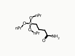 CCCO[Si](CCCC(N)=O)(OCCC)OCCC